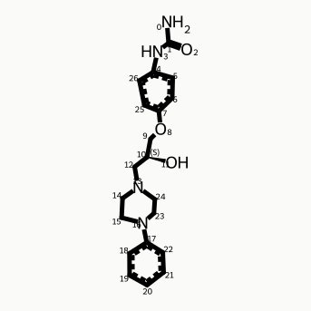 NC(=O)Nc1ccc(OC[C@@H](O)CN2CCN(c3ccccc3)CC2)cc1